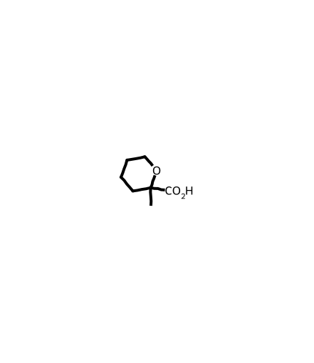 CC1(C(=O)O)CCCCO1